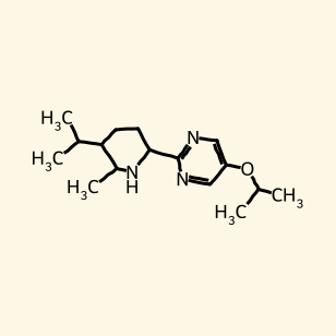 CC(C)Oc1cnc(C2CCC(C(C)C)C(C)N2)nc1